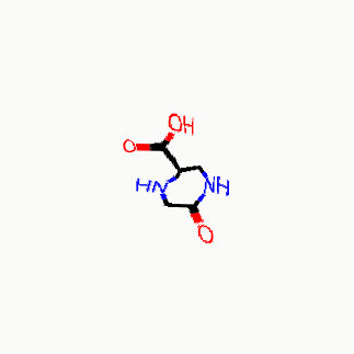 O=C1CNC(C(=O)O)CN1